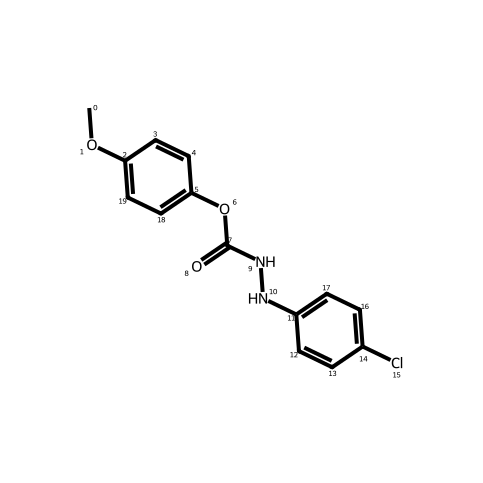 COc1ccc(OC(=O)NNc2ccc(Cl)cc2)cc1